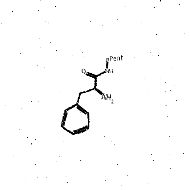 CCCCCNC(=O)C(N)Cc1ccccc1